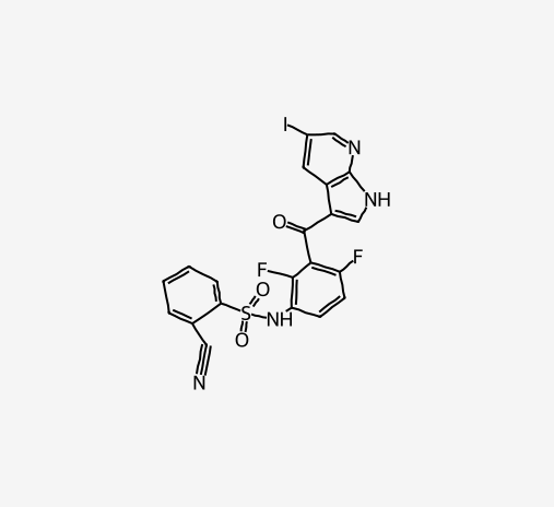 N#Cc1ccccc1S(=O)(=O)Nc1ccc(F)c(C(=O)c2c[nH]c3ncc(I)cc23)c1F